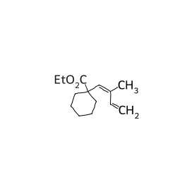 C=CC(C)=CC1(C(=O)OCC)CCCCC1